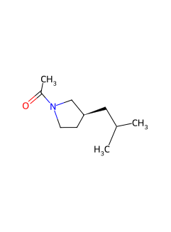 CC(=O)N1CC[C@H](CC(C)C)C1